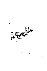 CC(N1CCC(NCCF)C1)C(F)(F)F